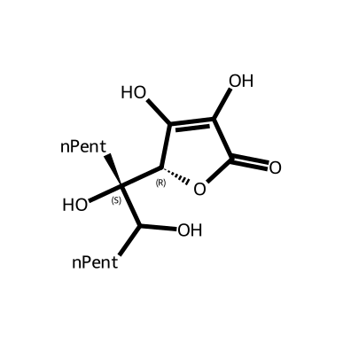 CCCCCC(O)[C@@](O)(CCCCC)[C@H]1OC(=O)C(O)=C1O